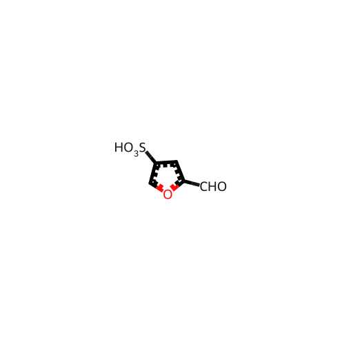 O=Cc1cc(S(=O)(=O)O)co1